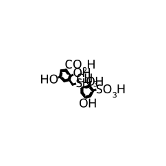 C[SH](Cc1cc(O)cc(C(=O)O)c1O)c1cc(O)cc(S(=O)(=O)O)c1O